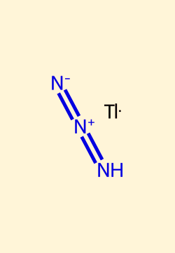 [N-]=[N+]=N.[Tl]